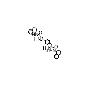 NC(Cc1ccc([C@@H]2CN[C@H](C(=O)N[C@@H]3CCCc4ccccc43)C2)cc1)C(=O)N[C@@H]1CCCc2ccccc21